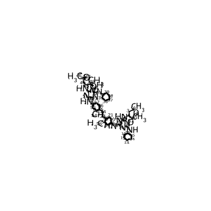 CC(=O)CC(Nc1nc(Nc2ccccc2)nc(Nc2ccc(C=Cc3ccc(Nc4nc(Nc5ccccc5)nc(NC(CC(C)=O)C(C)=O)n4)cc3C)c(C)c2)n1)C(C)=O